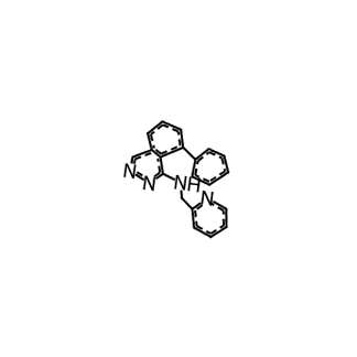 c1ccc(-c2cccc3cnnc(NCc4ccccn4)c23)cc1